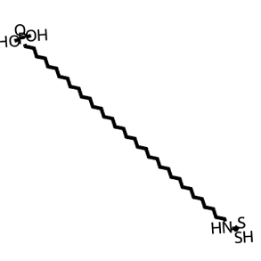 O=P(O)(O)CCCCCCCCCCCCCCCCCCCCCCCCCCCCCCCCCCCCNC(=S)S